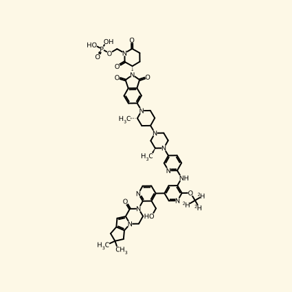 [2H]C([2H])([2H])Oc1ncc(-c2ccnc(N3CCn4c(cc5c4CC(C)(C)C5)C3=O)c2CO)cc1Nc1ccc(N2CCN(C3CCN(c4ccc5c(c4)C(=O)N([C@H]4CCC(=O)N(COP(=O)(O)O)C4=O)C5=O)[C@@H](C)C3)C[C@@H]2C)cn1